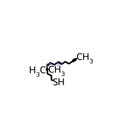 CC#CCC/C=C/C/C=C\C(C)(C)CCCS